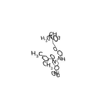 Cc1cc(C)cc(C(=O)N2Cc3cc([N+](=O)[O-])ccc3CC2CNc2cccc(OCCC(=O)N(C)C)c2)c1